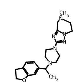 CC(c1ccc2c(c1)OCC2)N1CCN(c2nc3n(n2)CCN(C)C3)CC1